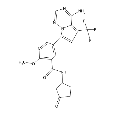 COc1ncc(-c2cc(C(F)(F)F)c3c(N)ncnn23)cc1C(=O)NC1CCC(=O)C1